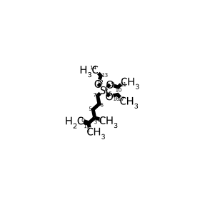 C=C(C)C(C)CCC[Si](OCC)(OCC)OCC